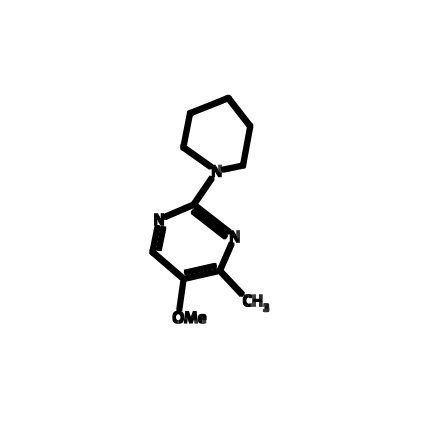 COc1cnc(N2CCCCC2)nc1C